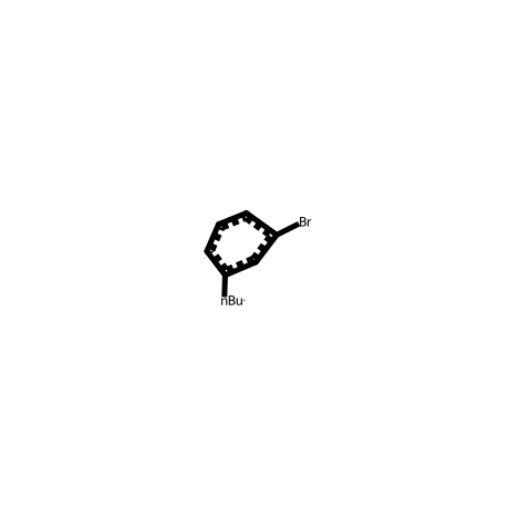 CCC[CH]c1cccc(Br)c1